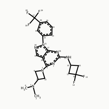 CN(C)C1CN(c2nc(NC3CC(F)(F)C3)nc3c2cnn3-c2cccc(C(F)(F)F)c2)C1